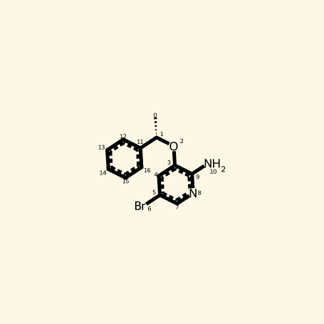 C[C@H](Oc1cc(Br)cnc1N)c1ccccc1